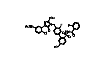 CCCCc1nn(-c2cc(NC(C)=O)ccc2Cl)c(=O)n1Cc1ccc(-c2cc(CCC)ccc2S(=O)(=O)NC(=O)c2ccccc2F)cc1F